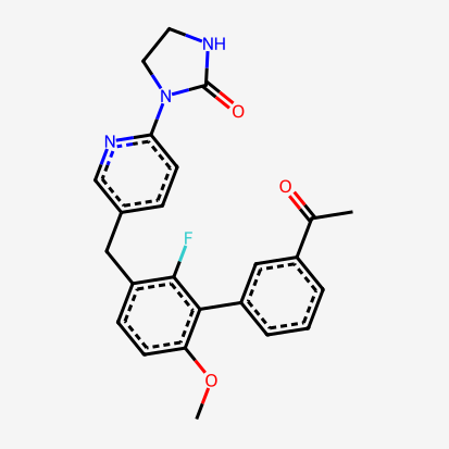 COc1ccc(Cc2ccc(N3CCNC3=O)nc2)c(F)c1-c1cccc(C(C)=O)c1